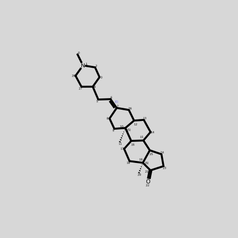 CN1CCC(C/C=C2\CC[C@@]3(C)C(CCC4C3CC[C@]3(C)C(=O)CCC43)C2)CC1